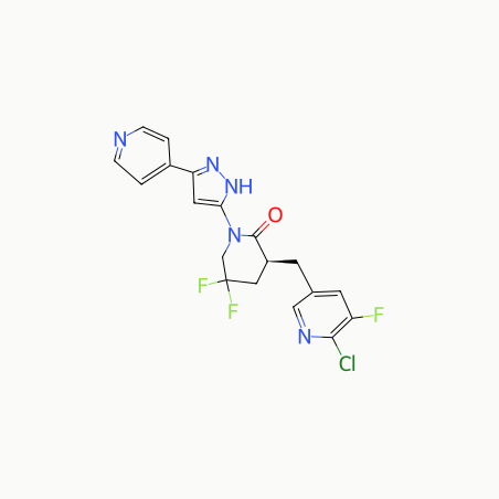 O=C1[C@@H](Cc2cnc(Cl)c(F)c2)CC(F)(F)CN1c1cc(-c2ccncc2)n[nH]1